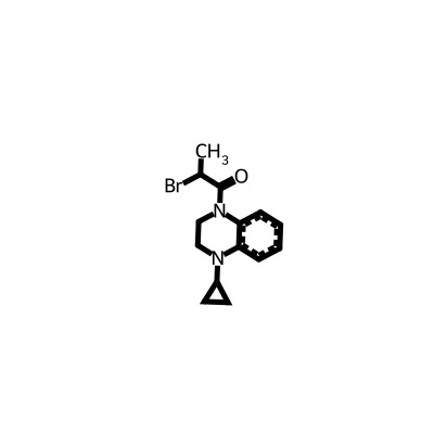 CC(Br)C(=O)N1CCN(C2CC2)c2ccccc21